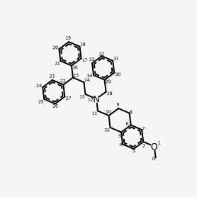 COc1ccc2c(c1)CCC(CN(CCC(c1ccccc1)c1ccccc1)Cc1ccccc1)C2